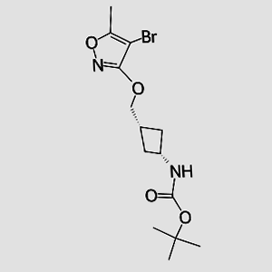 Cc1onc(OC[C@H]2C[C@@H](NC(=O)OC(C)(C)C)C2)c1Br